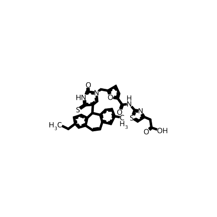 CCc1ccc2c(c1)C=Cc1cc(C)ccc1C2c1cn(Cc2ccc(C(=O)Nc3nc(CC(=O)O)cs3)o2)c(=O)[nH]c1=S